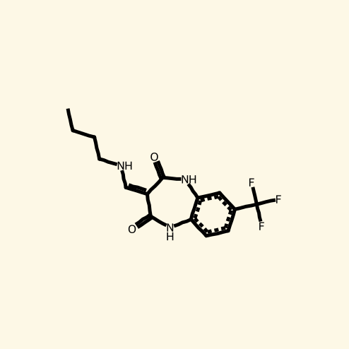 CCCCNC=C1C(=O)Nc2ccc(C(F)(F)F)cc2NC1=O